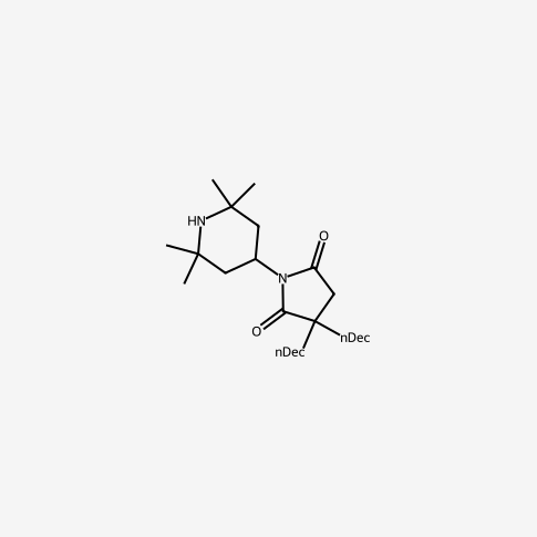 CCCCCCCCCCC1(CCCCCCCCCC)CC(=O)N(C2CC(C)(C)NC(C)(C)C2)C1=O